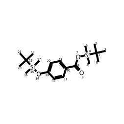 CC(C)(C)[Si](C)(C)OC(=O)c1ccc(O[Si](C)(C)C(C)(C)C)cc1